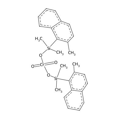 Cc1ccc2ccccc2c1[Si](C)(C)[O][Cr](=[O])(=[O])[O][Si](C)(C)c1c(C)ccc2ccccc12